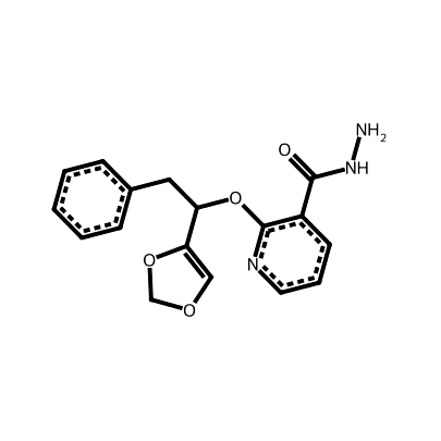 NNC(=O)c1cccnc1OC(Cc1ccccc1)C1=COCO1